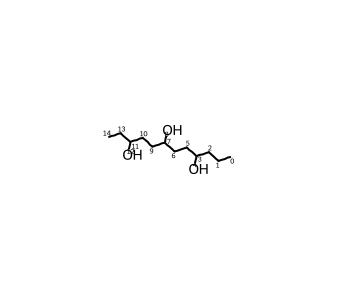 CCCC(O)CCC(O)CCC(O)CC